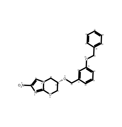 O=[N+]([O-])c1cn2c(n1)OC[C@@H](OCc1cccc(OCc3ccccc3)c1)C2